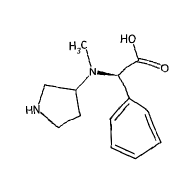 CN(C1CCNC1)[C@@H](C(=O)O)c1ccccc1